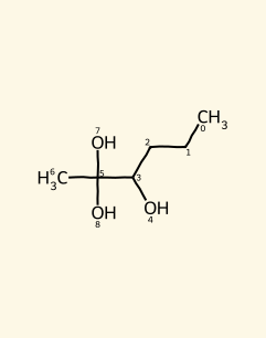 CCCC(O)C(C)(O)O